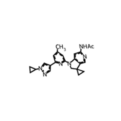 CC(=O)Nc1cc2c(cn1)C1(CC1)CN2c1cc(C)cc(-c2cnn(C3CC3)c2)n1